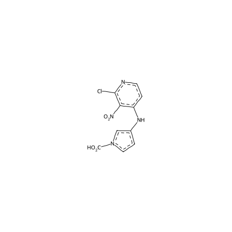 O=C(O)n1ccc(Nc2ccnc(Cl)c2[N+](=O)[O-])c1